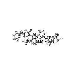 CN1CCN(C(C)(C)/C=C(/C#N)C(=O)N2CCC[C@H](n3nc(-c4ccc(Oc5ccccc5)cc4F)c4c(N)ncnc43)C2)CC1=O